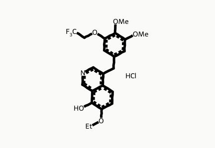 CCOc1ccc2c(Cc3cc(OC)c(OC)c(OCC(F)(F)F)c3)cncc2c1O.Cl